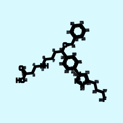 O=C(O)CCNCCCC(OCc1ccccc1)c1ccc(-n2cc(CCCF)nn2)cc1